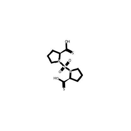 O=S(=O)(N1CCC[C@H]1C(O)=S)N1CCC[C@H]1C(O)=S